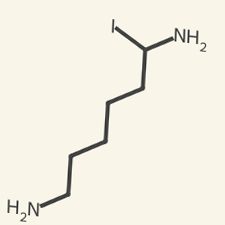 NCCCCCC(N)I